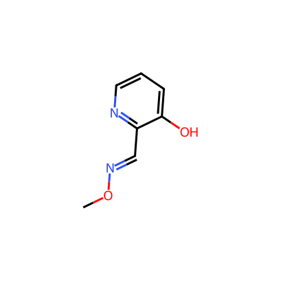 CON=Cc1ncccc1O